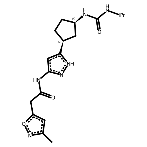 Cc1cc(CC(=O)Nc2cc([C@H]3CC[C@@H](NC(=O)NC(C)C)C3)[nH]n2)on1